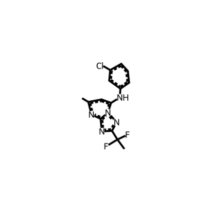 Cc1cc(Nc2cccc(Cl)c2)n2nc(C(C)(F)F)nc2n1